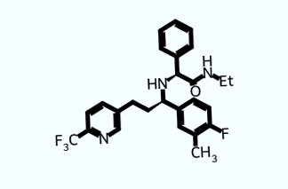 CCNC(=O)[C@@H](N[C@H](CCc1ccc(C(F)(F)F)nc1)c1ccc(F)c(C)c1)c1ccccc1